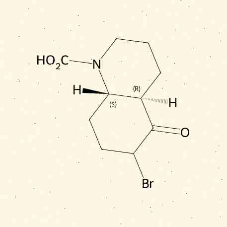 O=C1C(Br)CC[C@H]2[C@H]1CCCN2C(=O)O